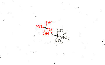 O=[N+]([O-])C(COC(O)(O)O)([N+](=O)[O-])[N+](=O)[O-]